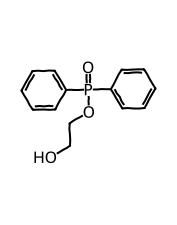 O=P(OCCO)(c1ccccc1)c1ccccc1